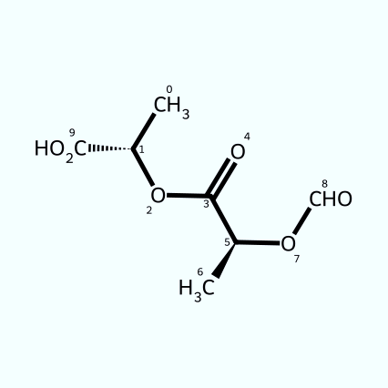 C[C@H](OC(=O)[C@H](C)OC=O)C(=O)O